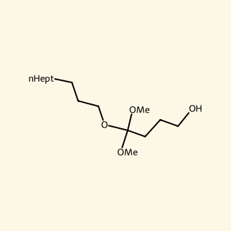 CCCCCCCCCCOC(CCCO)(OC)OC